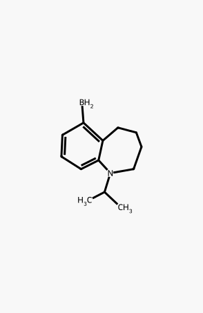 Bc1cccc2c1CCCCN2C(C)C